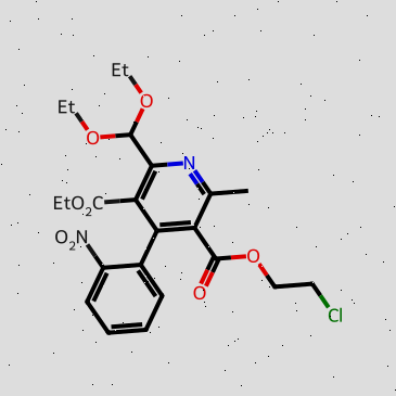 CCOC(=O)c1c(C(OCC)OCC)nc(C)c(C(=O)OCCCl)c1-c1ccccc1[N+](=O)[O-]